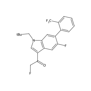 CC(C)(C)Cn1cc(C(=O)CF)c2cc(F)c(-c3ccccc3C(F)(F)F)cc21